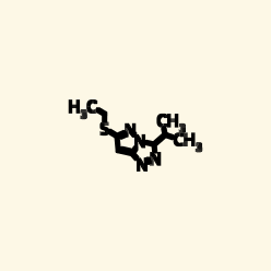 CCSc1cc2n(n1)C(C(C)C)N=N2